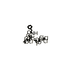 CC(C)(C)OC(=O)C(Cl)N1C(=O)[C@H](NC(=O)Cc2ccccc2)[C@@H]1SCC(CF)OC(=O)OCC(Cl)(Cl)Cl